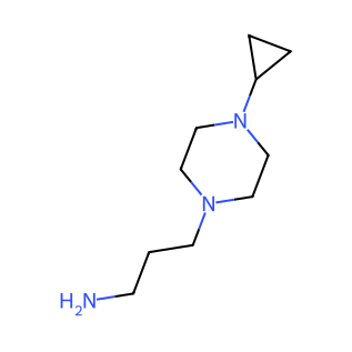 NCCCN1CCN(C2CC2)CC1